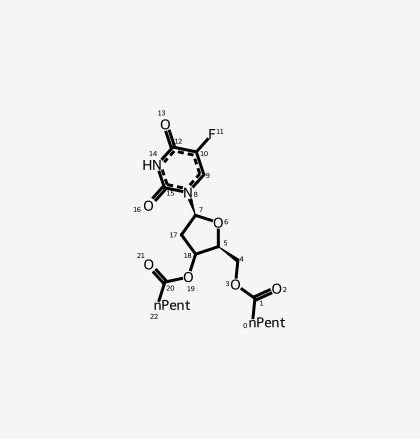 CCCCCC(=O)OC[C@@H]1O[C@H](n2cc(F)c(=O)[nH]c2=O)CC1OC(=O)CCCCC